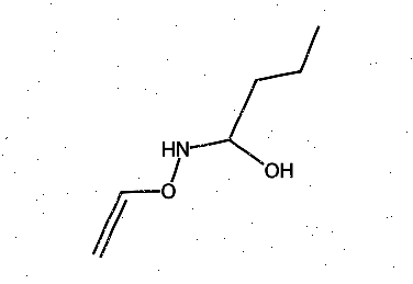 C=CONC(O)CCC